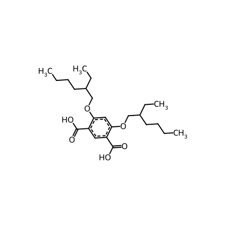 CCCCC(CC)COc1cc(OCC(CC)CCCC)c(C(=O)O)cc1C(=O)O